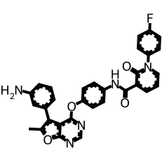 Cc1oc2ncnc(Oc3ccc(NC(=O)c4cccn(-c5ccc(F)cc5)c4=O)cc3)c2c1-c1cccc(N)c1